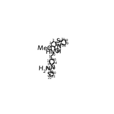 COc1ccc2c(c1C(=O)NCCc1ccc(/N=C(\N)c3cccs3)cc1)Nc1ccccc1S2